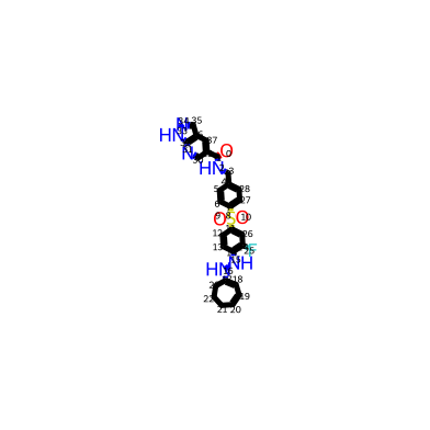 O=C(NCc1ccc(S(=O)(=O)c2ccc(NNC3=CC=CCCC3)c(F)c2)cc1)c1cnc2[nH]ncc2c1